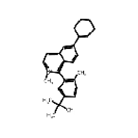 Cc1ccc(C(C)(C)C)cc1-c1c2ccc(C3CCCCC3)cc2cc[n+]1C